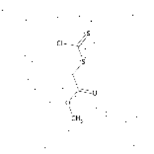 COC(=O)CSC(=S)Cl